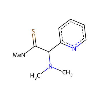 CNC(=S)C(c1ccccn1)N(C)C